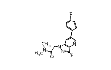 CN(C)C(=O)Cn1nc(F)c2ncc(-c3ccc(F)cc3)cc21